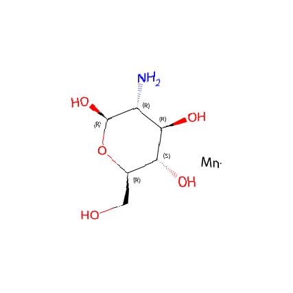 N[C@@H]1[C@@H](O)[C@H](O)[C@@H](CO)O[C@H]1O.[Mn]